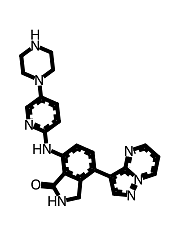 O=C1NCc2c(-c3cnn4cccnc34)ccc(Nc3ccc(N4CCNCC4)cn3)c21